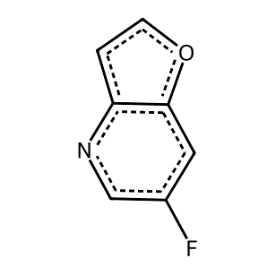 Fc1cnc2ccoc2c1